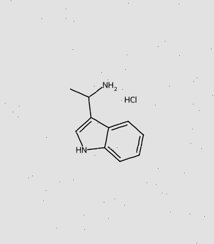 CC(N)c1c[nH]c2ccccc12.Cl